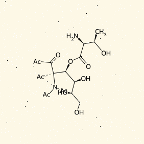 CC(=O)C(=O)[C@@](C(C)=O)([C@@H](OC(=O)[C@@H](N)[C@@H](C)O)[C@@H](O)[C@H](O)CO)N(C(C)=O)C(C)=O